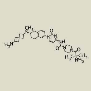 CN(C1CCc2cc(-n3ccc(NC(=O)N4CCN(C(=O)C(C)(C)N)CC4)nc3=O)ccc2C1)C1CC2(CC(N)C2)C1